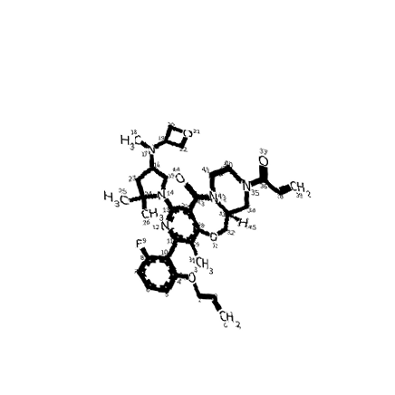 C=CCOc1cccc(F)c1-c1nc(N2CC(N(C)C3COC3)CC2(C)C)c2c(c1C)OC[C@H]1CN(C(=O)C=C)CCN1C2=O